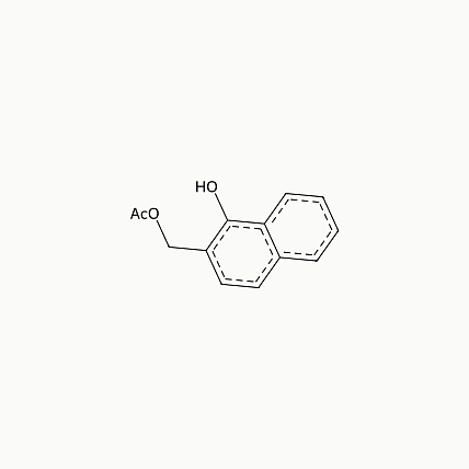 CC(=O)OCc1ccc2ccccc2c1O